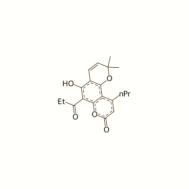 CCCc1cc(=O)oc2c(C(=O)CC)c(O)c3c(c12)OC(C)(C)C=C3